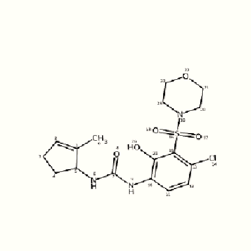 CC1=CCCC1NC(=O)Nc1ccc(Cl)c(S(=O)(=O)N2CCOCC2)c1O